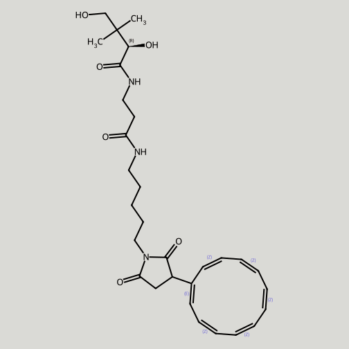 CC(C)(CO)[C@@H](O)C(=O)NCCC(=O)NCCCCCN1C(=O)CC(C2=C/C=C\C=C/C=C\C=C/C=C\2)C1=O